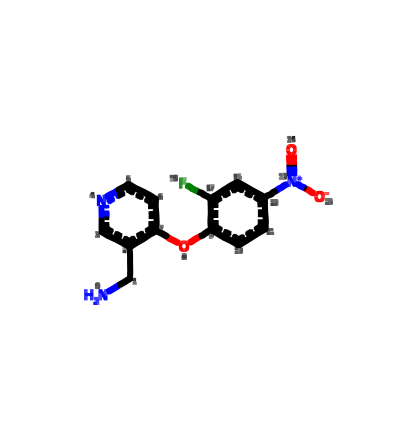 NCc1cnccc1Oc1ccc([N+](=O)[O-])cc1F